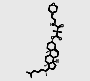 CC(C)CCC[C@@H](C)C1CC[C@H]2C3CC=C4C[C@@H](OC(=O)C(C)(C)C(=O)NCCN5CCOCC5)CC[C@]4(C)C3CC[C@]12C